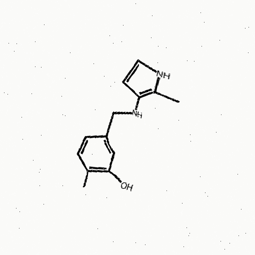 Cc1ccc(CNc2cc[nH]c2C)cc1O